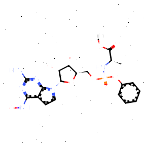 CC(C)OC(=O)[C@@H](C)N[P@@](=O)(OC[C@H]1O[C@@H](n2ccc3c(NO)nc(N)nc32)[C@H](O)[C@@H]1O)Oc1ccccc1